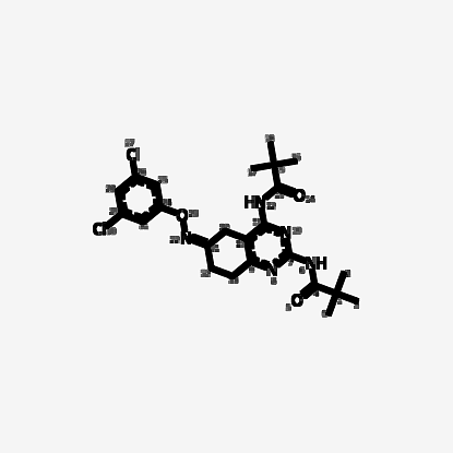 CC(C)(C)C(=O)Nc1nc2c(c(NC(=O)C(C)(C)C)n1)CC(=NOc1cc(Cl)cc(Cl)c1)CC2